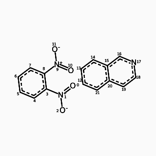 O=[N+]([O-])c1ccccc1[N+](=O)[O-].c1ccc2cnccc2c1